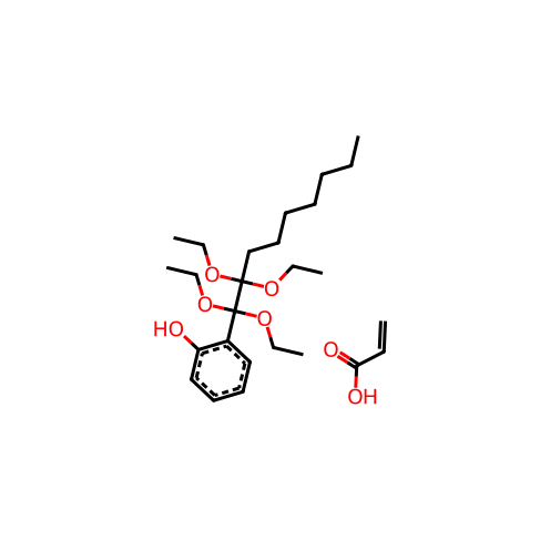 C=CC(=O)O.CCCCCCCC(OCC)(OCC)C(OCC)(OCC)c1ccccc1O